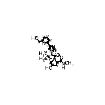 CNC(=O)C1CC(O)CN1C(=O)[C@@H](n1cc(-c2cccc(CO)n2)nn1)C(C)(C)C